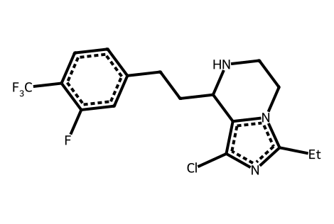 CCc1nc(Cl)c2n1CCNC2CCc1ccc(C(F)(F)F)c(F)c1